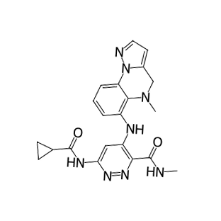 CNC(=O)c1nnc(NC(=O)C2CC2)cc1Nc1cccc2c1N(C)Cc1ccnn1-2